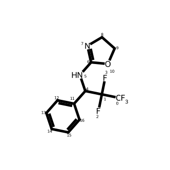 FC(F)(F)C(F)(F)C(NC1=NCCO1)c1ccccc1